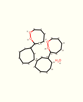 C1CCCC(C2CCCCCOO2)CCC1.C1CCCC(C2CCCCCOO2)CCC1.O